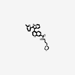 Cc1cccc(-c2nn3ccccc3c2-c2ccnc3cc(C(=O)NCCCN4CCOCC4)ccc23)n1